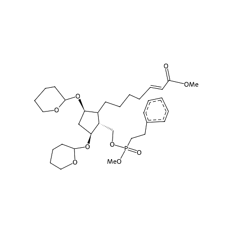 COC(=O)C=CCCCCC1[C@H](OC2CCCCO2)C[C@H](OC2CCCCO2)[C@H]1COP(=O)(CCc1ccccc1)OC